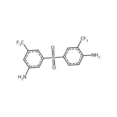 Nc1cc(C(F)(F)F)cc(S(=O)(=O)c2ccc(N)c(C(F)(F)F)c2)c1